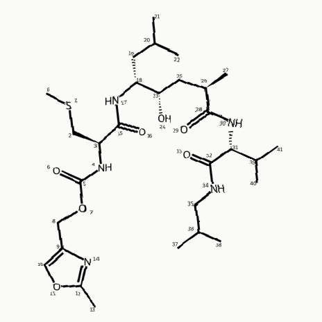 CSC[C@H](NC(=O)OCc1coc(C)n1)C(=O)N[C@H](CC(C)C)[C@@H](O)C[C@@H](C)C(=O)N[C@@H](C(=O)NCC(C)C)C(C)C